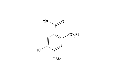 CCOC(=O)c1cc(OC)c(O)cc1C(=O)C(C)(C)C